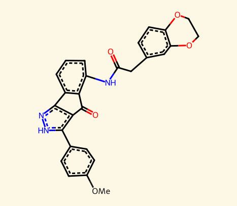 COc1ccc(-c2[nH]nc3c2C(=O)c2c(NC(=O)Cc4ccc5c(c4)OCCO5)cccc2-3)cc1